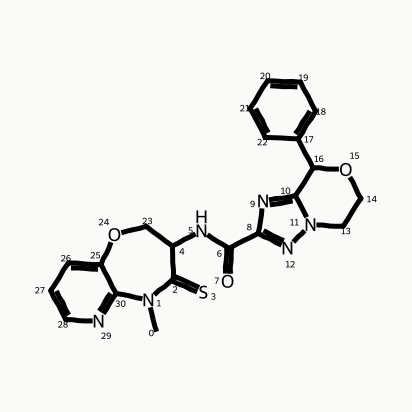 CN1C(=S)C(NC(=O)c2nc3n(n2)CCOC3c2ccccc2)COc2cccnc21